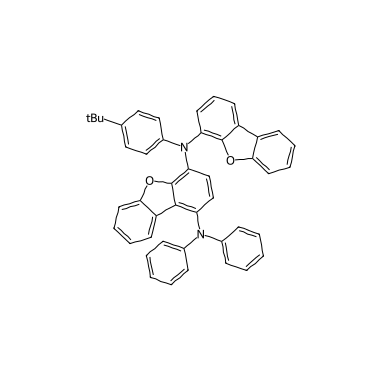 CC(C)(C)c1ccc(N(c2cccc3c2oc2ccccc23)c2ccc(N(c3ccccc3)c3ccccc3)c3c2oc2ccccc23)cc1